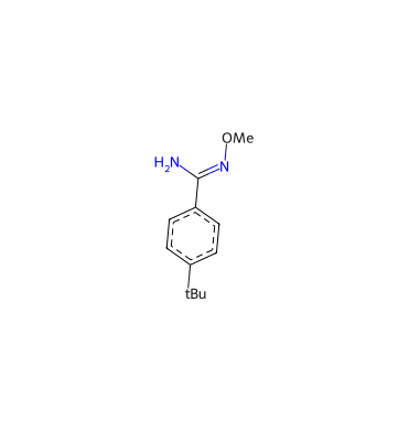 CO/N=C(\N)c1ccc(C(C)(C)C)cc1